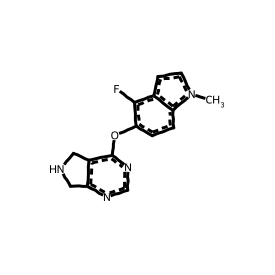 Cn1ccc2c(F)c(Oc3ncnc4c3CNC4)ccc21